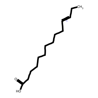 CC/C=C/CCCCCCCCCC(=O)O